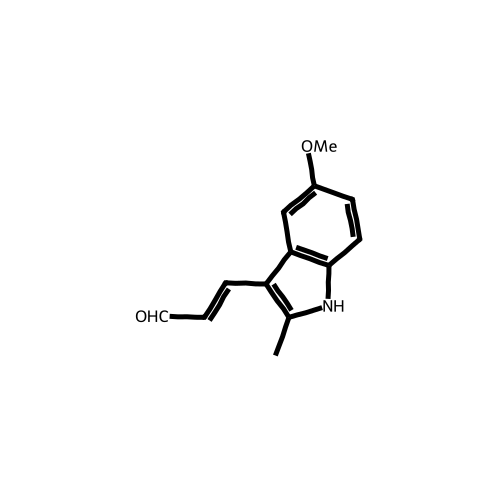 COc1ccc2[nH]c(C)c(/C=C/C=O)c2c1